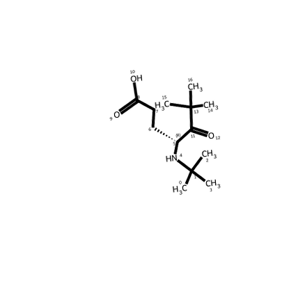 CC(C)(C)N[C@H](CCC(=O)O)C(=O)C(C)(C)C